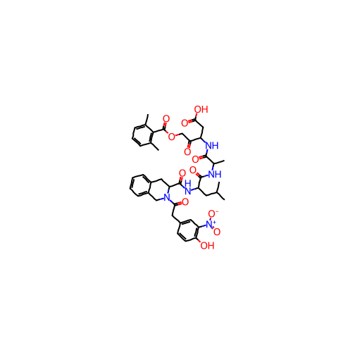 Cc1cccc(C)c1C(=O)OCC(=O)C(CC(=O)O)NC(=O)C(C)NC(=O)C(CC(C)C)NC(=O)C1Cc2ccccc2CN1C(=O)Cc1ccc(O)c([N+](=O)[O-])c1